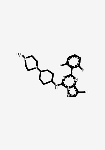 CN1CCN(C2CCC(Nc3nc(-c4c(F)cccc4F)nc4c(Cl)cnn34)CC2)CC1